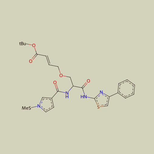 CSn1ccc(C(=O)NC(COC/C=C/C(=O)OC(C)(C)C)C(=O)Nc2nc(-c3ccccc3)cs2)c1